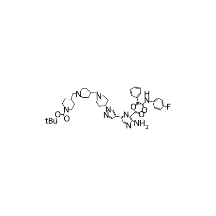 CC(C)(C)OC(=O)N1CCC(CN2CCC(CN3CCC(n4cc(-c5cnc(N)c(C(=O)O[C@@H](C(=O)Nc6ccc(F)cc6)c6ccccc6)n5)cn4)CC3)CC2)CC1